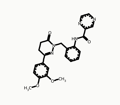 COc1ccc(C2=NN(Cc3ccccc3NC(=O)c3cnccn3)C(=O)CC2)cc1OC